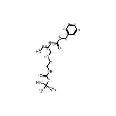 CC(C)(C)OC(=O)NCCOC[C@@H](CO)NC(=O)OCc1ccccc1